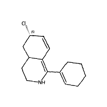 Cl[C@@H]1C=CC2=C(C3=CCCCC3)NCCC2C1